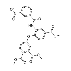 COC(=O)c1ccc(Oc2ccc(C(=O)OC)c(C(=O)OC)c2)c(NC(=O)c2cccc([N+](=O)[O-])c2)c1